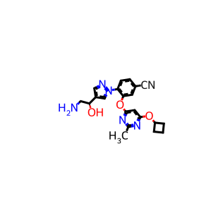 Cc1nc(Oc2cc(C#N)ccc2-n2cc([C@@H](O)CN)cn2)cc(OC2CCC2)n1